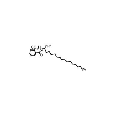 CCCC(CCCCCCCCCCCCCCC(C)C)OC(=O)c1ccccc1C(=O)O